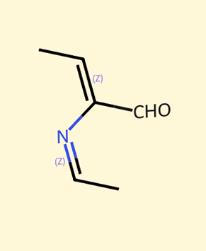 C/C=N\C(C=O)=C/C